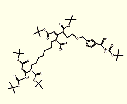 CC(C)(C)OC(=O)N=C(NC(=O)OC(C)(C)C)N(CCCCCCCN(C(=O)O)C(=NC(=O)OC(C)(C)C)N(CCOCc1cc(C(=N)NC(=O)OC(C)(C)C)cs1)C(=O)OC(C)(C)C)C(=O)OC(C)(C)C